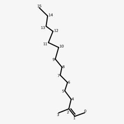 CC=C(C)CCCCCCCCCCCC